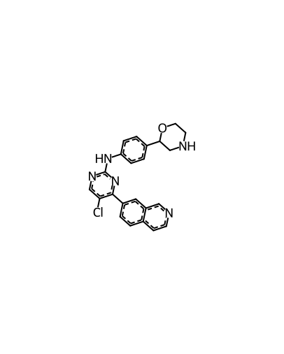 Clc1cnc(Nc2ccc(C3CNCCO3)cc2)nc1-c1ccc2ccncc2c1